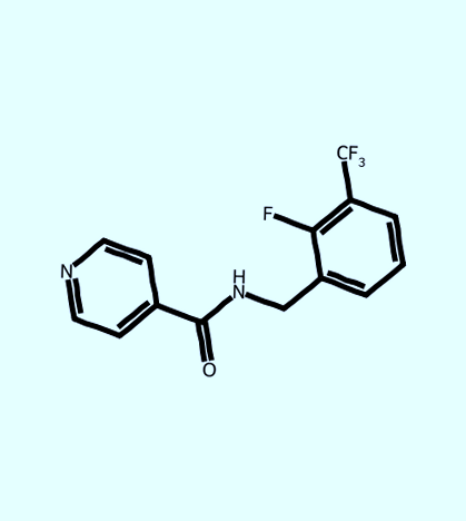 O=C(NCc1cccc(C(F)(F)F)c1F)c1ccncc1